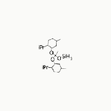 CC1CCC(C(C)C)C(OC(C)(O[SiH3])OC2CC(C)CCC2C(C)C)C1